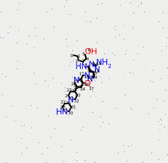 CCCC(CCO)Nc1nc(N)nc2cnn(Cc3ncc(C4CCN(C5CCNCC5)CC4)cc3OC)c12